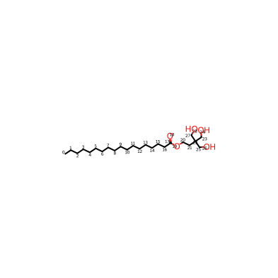 CCCCCCCCCCCCCCCCCC(=O)OCCC(CO)(CO)CO